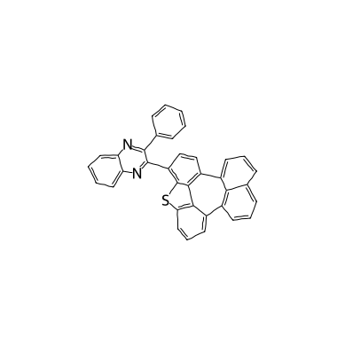 c1ccc(-c2nc3ccccc3nc2-c2ccc3c4c2sc2cccc(c24)-c2cccc4cccc-3c24)cc1